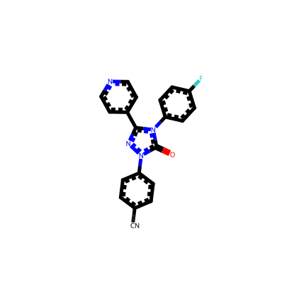 N#Cc1ccc(-n2nc(-c3ccncc3)n(-c3ccc(F)cc3)c2=O)cc1